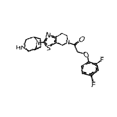 O=C(COc1ccc(F)cc1F)N1CCc2nc(N3C4CCC3CNC4)sc2C1